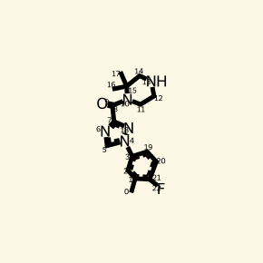 Cc1cc(-n2cnc(C(=O)N3CCNCC3(C)C)n2)ccc1F